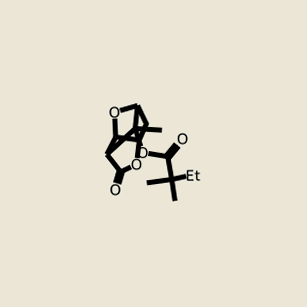 CCC(C)(C)C(=O)OC1(C)C2CC3OC(=O)C1C3O2